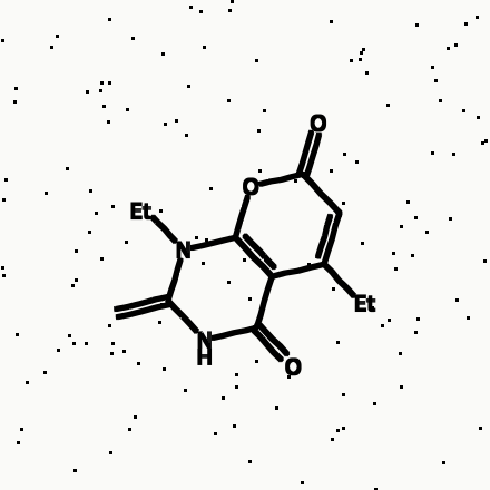 C=C1NC(=O)c2c(CC)cc(=O)oc2N1CC